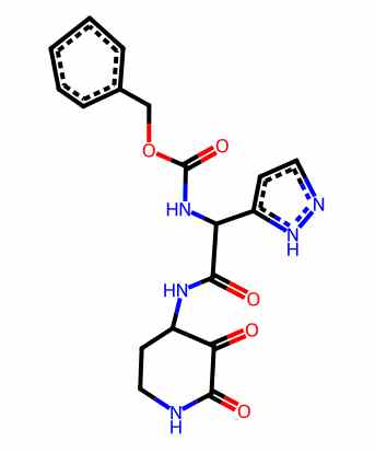 O=C(NC(C(=O)NC1CCNC(=O)C1=O)c1ccn[nH]1)OCc1ccccc1